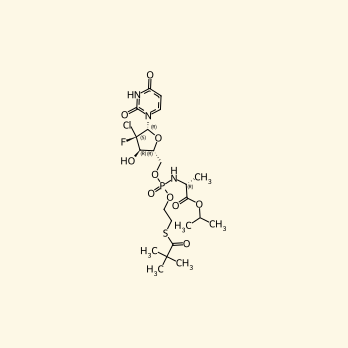 CC(C)OC(=O)[C@@H](C)NP(=O)(OCCSC(=O)C(C)(C)C)OC[C@H]1O[C@@H](n2ccc(=O)[nH]c2=O)[C@@](F)(Cl)[C@@H]1O